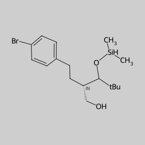 C[SiH](C)OC([C@H](CO)CCc1ccc(Br)cc1)C(C)(C)C